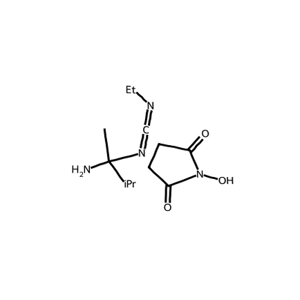 CCN=C=NC(C)(N)C(C)C.O=C1CCC(=O)N1O